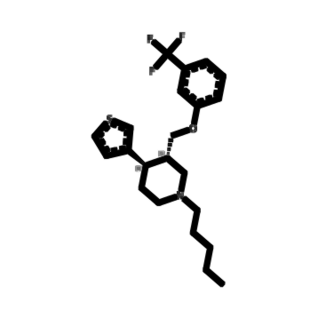 CCCCCN1CC[C@@H](c2ccsc2)[C@H](COc2cccc(C(F)(F)F)c2)C1